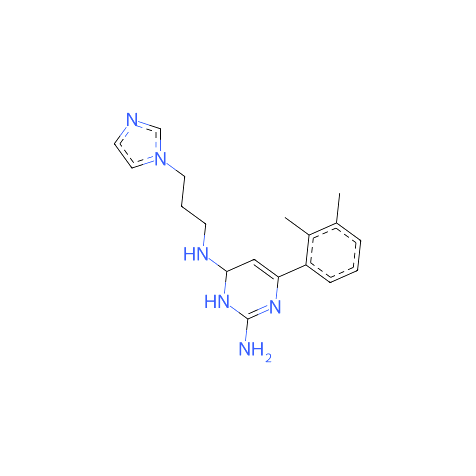 Cc1cccc(C2=CC(NCCCn3ccnc3)NC(N)=N2)c1C